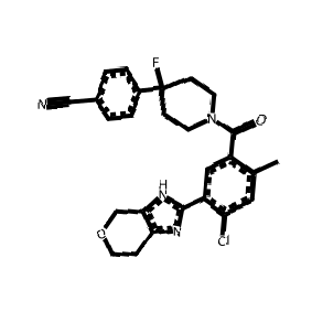 Cc1cc(Cl)c(-c2nc3c([nH]2)COCC3)cc1C(=O)N1CCC(F)(c2ccc(C#N)cc2)CC1